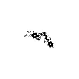 COc1cc2ncnc(Nc3ncc(CCC(=O)Nc4ccc(F)cc4)s3)c2cc1OC